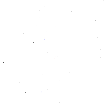 CNC(=O)c1ccc(OCCNC(=O)OC(C)(C)C)c(O)c1